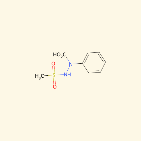 CS(=O)(=O)NN(C(=O)O)c1ccccc1